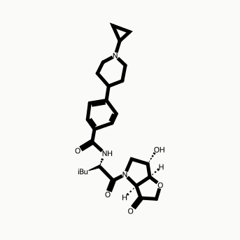 CC[C@H](C)[C@H](NC(=O)c1ccc(C2CCN(C3CC3)CC2)cc1)C(=O)N1C[C@H](O)[C@H]2OCC(=O)[C@H]21